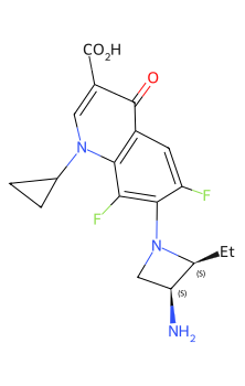 CC[C@H]1[C@@H](N)CN1c1c(F)cc2c(=O)c(C(=O)O)cn(C3CC3)c2c1F